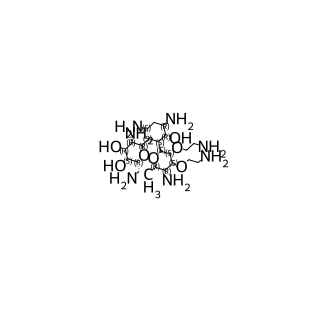 C[C@H]1O[C@@H]([C@@H]2[C@@H](O)[C@H](N)C[C@H](N)[C@H]2[C@H]2O[C@H](CN)[C@@H](O)[C@H](O)[C@H]2N)[C@H](OCCN)[C@@H](OCCN)[C@@H]1N